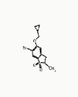 CN1Cc2cc(OCC3CC3)c(Br)cc2S1(=O)=O